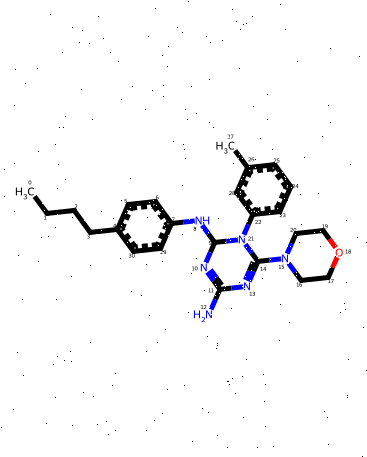 CCCCc1ccc(NC2N=C(N)N=C(N3CCOCC3)N2c2cccc(C)c2)cc1